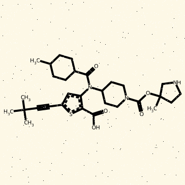 CC1CCC(C(=O)N(c2cc(C#CC(C)(C)C)sc2C(=O)O)C2CCN(C(=O)OC3(C)CCNC3)CC2)CC1